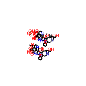 CC[C@]1(O)C[C@@H]2C[N@@](CCc3c([nH]c4ccccc34)[C@@](C(=O)OC)(c3cc4c(cc3OC)N(C)[C@H]3[C@@](O)(C(=O)OC)[C@H](OC(C)=O)[C@]5(CC)C=CCN6CC[C@]43[C@@H]65)C2)C1.CC[C@]1(O)C[C@H]2C[N@](CCc3c([nH]c4ccccc34)[C@@](C(=O)OC)(c3cc4c(cc3OC)N(C=O)[C@H]3[C@@](O)(C(=O)OC)[C@H](OC(C)=O)[C@]5(CC)C=CCN6CC[C@]43[C@@H]65)C2)C1.O=S(=O)(O)O